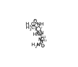 CC1(C)C(=O)Nc2cc3nc(-c4[c]cn(C(N)=O)n4)[nH]c3cc21